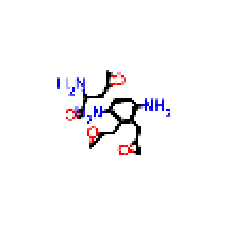 NC(CC1CO1)C1CO1.Nc1ccc(N)c(CC2CO2)c1CC1CO1